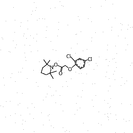 CC1(C)CCCC(C)(C)N1OC(=O)COc1ccc(Cl)cc1Cl